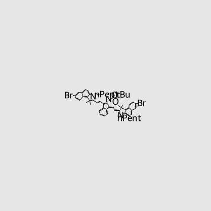 CCCCCN1/C(=C/C=C2C(N(C)C(=O)OC(C)(C)C)=C(/C=C/C3=[N+](CCCCC)c4ccc5cc(Br)ccc5c4C3(C)C)c3ccccc3/2)C(C)(C)c2c1ccc1cc(Br)ccc21